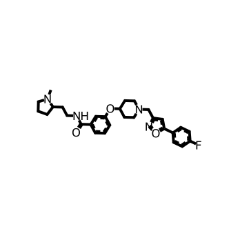 CN1CCCC1CCNC(=O)c1cccc(OC2CCN(Cc3cc(-c4ccc(F)cc4)on3)CC2)c1